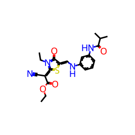 CCOC(=O)C(C#N)=c1sc(=CNc2cccc(NC(=O)C(C)C)c2)c(=O)n1CC